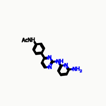 CC(=O)Nc1ccc(-c2ccnc(Nc3cccc(N)n3)n2)cc1